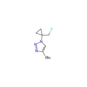 CC(C)(C)c1cn(C2(CF)CC2)nn1